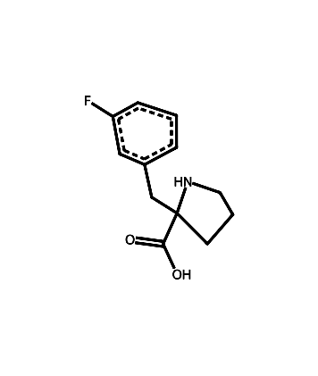 O=C(O)C1(Cc2cccc(F)c2)CCCN1